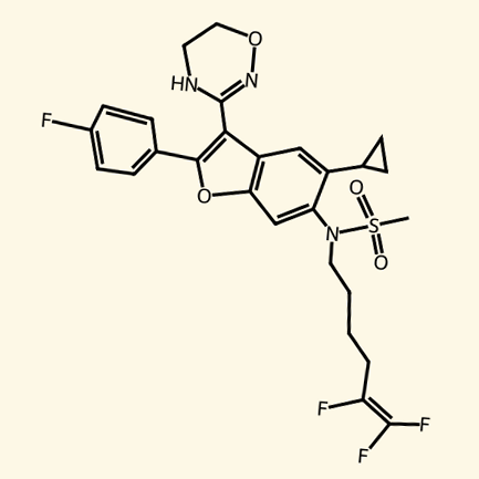 CS(=O)(=O)N(CCCCC(F)=C(F)F)c1cc2oc(-c3ccc(F)cc3)c(C3=NOCCN3)c2cc1C1CC1